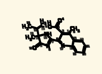 Cc1c(C(=O)O)c(C2=NC(=O)C(C)(C(C)C)N2)nc2ccccc12